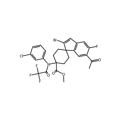 COC(=O)C1(N(C(=O)C(F)(F)F)c2cccc(Cl)c2)CCC2(CC1)C(Br)=Cc1cc(F)c(C(C)=O)cc12